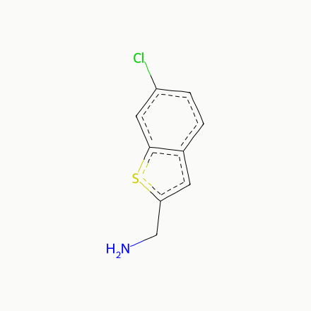 NCc1cc2ccc(Cl)cc2s1